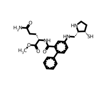 COC(=O)[C@H](CCC(N)=O)NC(=O)c1cc(NC[C@@H]2NCC[C@@H]2S)ccc1-c1ccccc1